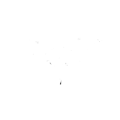 Cc1cc(C(=O)N[C@@H]2C[C@H](C)CN(c3ccc(C#N)c4ncccc34)C2)no1